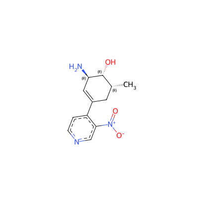 C[C@@H]1CC(c2ccncc2[N+](=O)[O-])=C[C@@H](N)[C@@H]1O